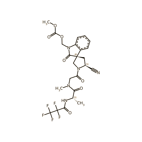 COC(=O)OCN1C(=O)[C@]2(C[C@@H](C#N)N(C(=O)CN(C)C(=O)[C@H](C)NC(=O)C(F)(F)C(F)(F)F)C2)c2ccccc21